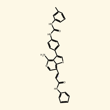 Cc1cccc(NC(=O)Nc2ccc(-c3csc4c(/C=C/C(=O)Nc5ccccc5)cnc(N)c34)cc2)c1